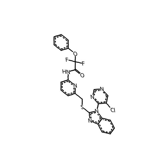 O=C(Nc1cccc(CSc2nc3ccccc3n2-c2ncncc2Cl)n1)C(F)(F)Oc1ccccc1